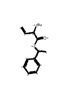 C=CC(C(=O)OC(C)c1ccccc1)C(C)(C)C